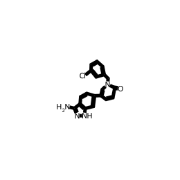 Nc1n[nH]c2cc(-c3ccc(=O)n(Cc4cccc(Cl)c4)c3)ccc12